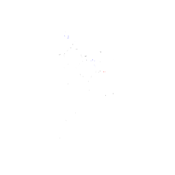 CCCCCCOc1c(OC)c(=O)n(CC)c2cc(N)ccc12